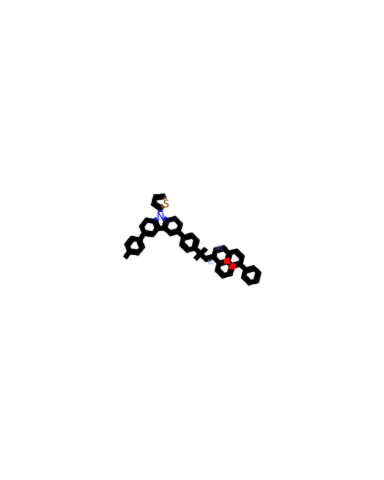 Cc1ccc(C2=Cc3c4c(n(-c5cccs5)c3CC2)CCC(c2ccc(C(C)(C)/C=C(\C=C/c3ccc(-c5ccccc5)cc3)c3ccccc3)cc2)=C4)cc1